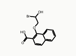 O=C(O)c1ccc2ccccc2c1OCC(O)Br